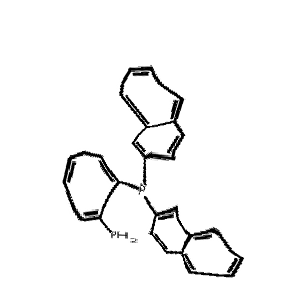 Pc1ccccc1P(c1ccc2ccccc2c1)c1ccc2ccccc2c1